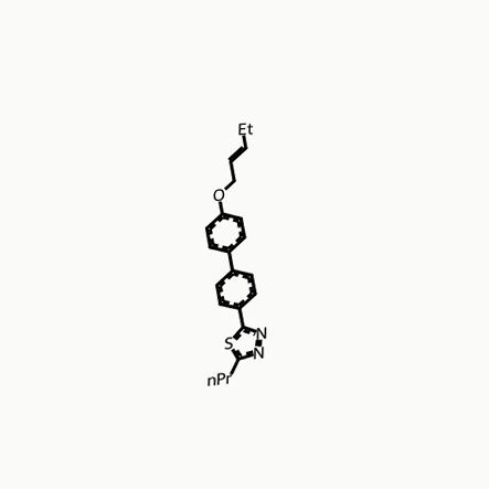 CC/C=C/COc1ccc(-c2ccc(-c3nnc(CCC)s3)cc2)cc1